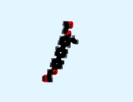 CCc1cc(C2=CCC(c3ccc(OCC4CO4)cc3)C=C2)ccc1OCC1CO1